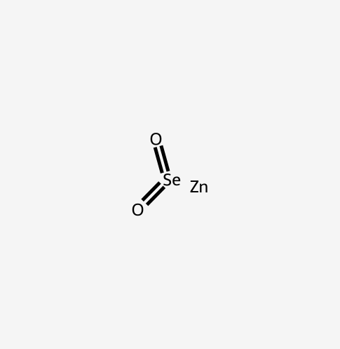 O=[Se]=O.[Zn]